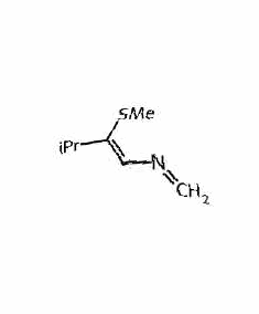 C=N/C=C(\SC)C(C)C